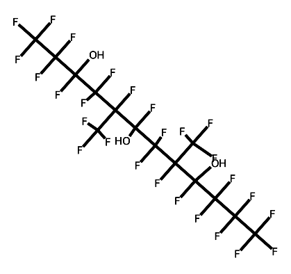 OC(F)(C(F)(F)C(F)(F)F)C(F)(F)C(F)(C(F)(F)F)C(O)(F)C(F)(F)C(F)(C(F)(F)F)C(O)(F)C(F)(F)C(F)(F)C(F)(F)F